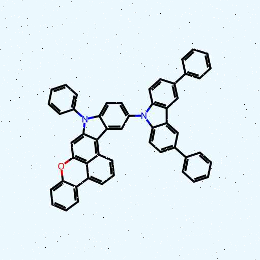 c1ccc(-c2ccc3c(c2)c2cc(-c4ccccc4)ccc2n3-c2ccc3c(c2)c2c4cccc5c4c(cc2n3-c2ccccc2)Oc2ccccc2-5)cc1